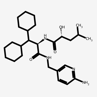 CC(C)C[C@@H](O)C(=O)N[C@@H](C(=O)NCc1ccc(N)nc1)C(C1CCCCC1)C1CCCCC1